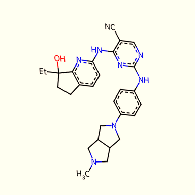 CCC1(O)CCc2ccc(Nc3nc(Nc4ccc(N5CC6CN(C)CC6C5)cc4)ncc3C#N)nc21